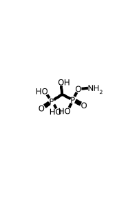 NOP(=O)(O)C(O)P(=O)(O)O